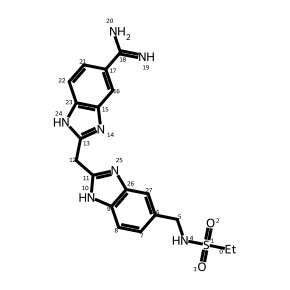 CCS(=O)(=O)NCc1ccc2[nH]c(Cc3nc4cc(C(=N)N)ccc4[nH]3)nc2c1